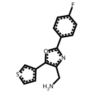 NCc1nc(-c2ccc(F)cc2)oc1-c1ccsc1